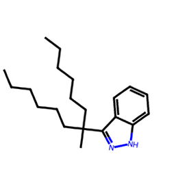 CCCCCCC(C)(CCCCCC)c1n[nH]c2ccccc12